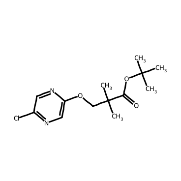 CC(C)(C)OC(=O)C(C)(C)COc1cnc(Cl)cn1